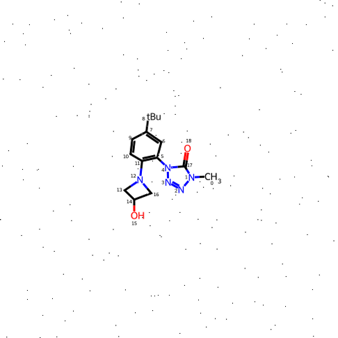 Cn1nnn(-c2cc(C(C)(C)C)ccc2N2CC(O)C2)c1=O